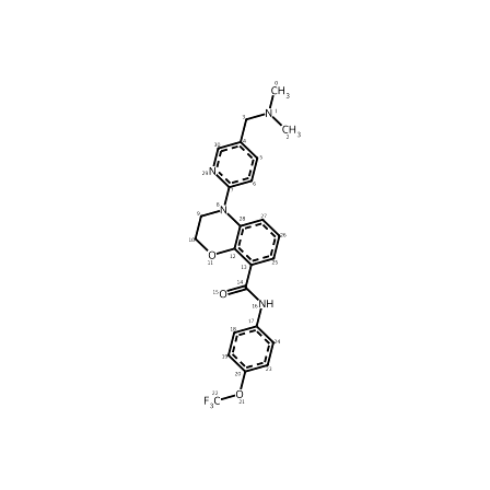 CN(C)Cc1ccc(N2CCOc3c(C(=O)Nc4ccc(OC(F)(F)F)cc4)cccc32)nc1